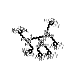 CC1(C)CC(CCCCNc2nc(NCCCCC(CCCNc3nc(NCCCCC4CC(C)(C)NC(C)(C)C4)nc(NCCCCC4CC(C)(C)NC(C)(C)C4)n3)CNc3nc(NCCCCC4CC(C)(C)NC(C)(C)C4)nc(NCCCCC4CC(C)(C)NC(C)(C)C4)n3)nc(NCCCCC3CC(C)(C)NC(C)(C)C3)n2)CC(C)(C)N1